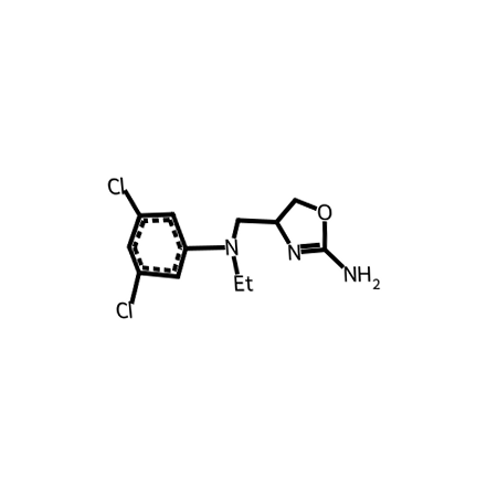 CCN(CC1COC(N)=N1)c1cc(Cl)cc(Cl)c1